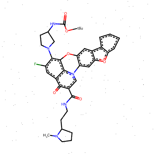 CN1CCCC1CCNC(=O)c1cn2c3c(c(N4CCC(NC(=O)OC(C)(C)C)C4)c(F)cc3c1=O)Oc1cc3c(cc1-2)oc1ccccc13